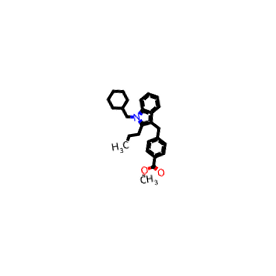 CCCc1c(Cc2ccc(C(=O)OC)cc2)c2ccccc2n1CC1CCCCC1